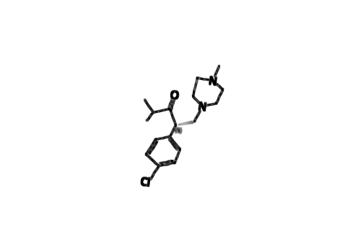 CC(C)C(=O)[C@H](CN1CCN(C)CC1)c1ccc(Cl)cc1